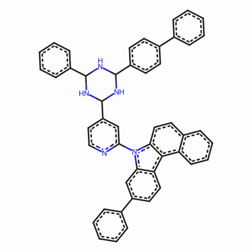 c1ccc(-c2ccc(C3NC(c4ccccc4)NC(c4ccnc(-n5c6cc(-c7ccccc7)ccc6c6c7ccccc7ccc65)c4)N3)cc2)cc1